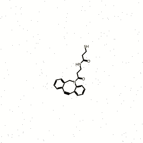 O=C(CCS)NCCC(=O)N1Cc2ccccc2C#Cc2ccccc21